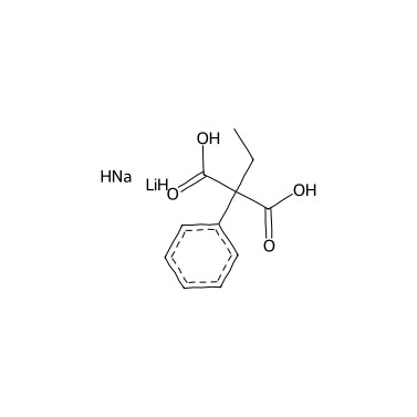 CCC(C(=O)O)(C(=O)O)c1ccccc1.[LiH].[NaH]